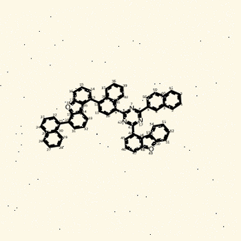 c1ccc2cc(-c3nc(-c4ccc(-c5cccc6oc7c(-c8cccc9ccccc89)cccc7c56)c5ccccc45)nc(-c4cccc5oc6ccccc6c45)n3)ccc2c1